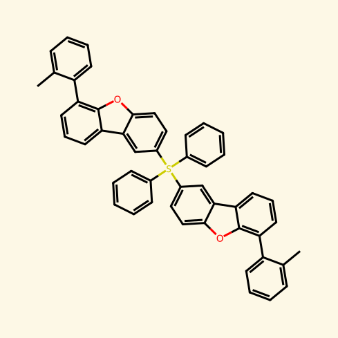 Cc1ccccc1-c1cccc2c1oc1ccc(S(c3ccccc3)(c3ccccc3)c3ccc4oc5c(-c6ccccc6C)cccc5c4c3)cc12